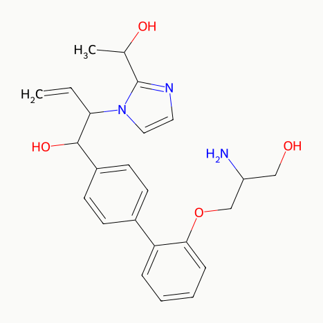 C=CC(C(O)c1ccc(-c2ccccc2OCC(N)CO)cc1)n1ccnc1C(C)O